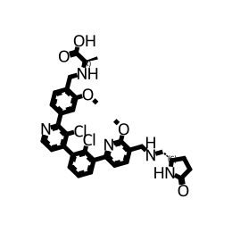 COc1cc(-c2nccc(-c3cccc(-c4ccc(CNC[C@@H]5CCC(=O)N5)c(OC)n4)c3Cl)c2Cl)ccc1CN[C@H](C)C(=O)O